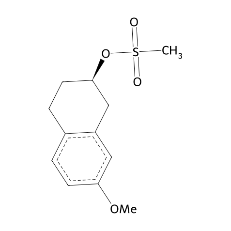 COc1ccc2c(c1)C[C@H](OS(C)(=O)=O)CC2